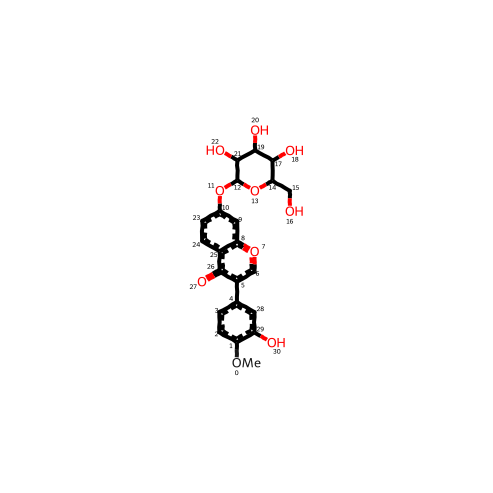 COc1ccc(-c2coc3cc(OC4OC(CO)C(O)C(O)C4O)ccc3c2=O)cc1O